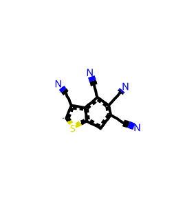 N#Cc1cc2s[c]c(C#N)c2c(C#N)c1C#N